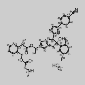 CNCC(=O)OCc1cccnc1N(C)C(=O)OC(C)[n+]1cnn(C[C@](O)(c2cc(F)ccc2F)[C@@H](C)c2nc(-c3ccc(C#N)cc3)cs2)c1.Cl.[Cl-]